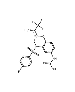 N[C@H]([C@H]1CN(S(=O)(=O)c2ccc(F)cc2)c2cc(NC(=O)O)ccc2O1)C(F)(F)F